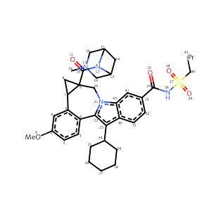 COc1ccc2c(c1)C1CC1(C(=O)N1C3CC1CN(C)C3)Cn1c-2c(C2CCCCC2)c2ccc(C(=O)NS(=O)(=O)CC(C)C)cc21